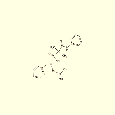 CC(C)(C(=O)Nc1ccccc1)C(=O)N[C@@H](Cc1ccccc1)OB(O)O